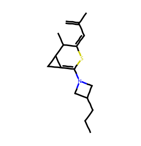 C=C(C)/C=C1/SC(N2CC(CCC)C2)=C2CC2C1C